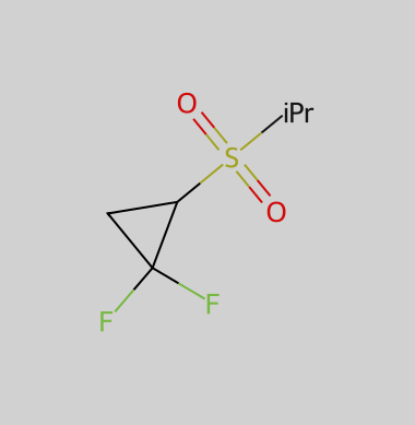 CC(C)S(=O)(=O)C1CC1(F)F